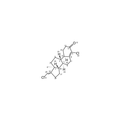 C[C@]12CC[C@H]3[C@@H](CCC4=C(Cl)C(=O)CC[C@@H]43)[C@@H]1CC/C2=C\Cl